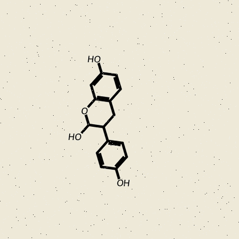 Oc1ccc(C2Cc3ccc(O)cc3OC2O)cc1